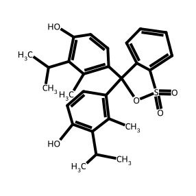 Cc1c(C2(c3ccc(O)c(C(C)C)c3C)OS(=O)(=O)c3ccccc32)ccc(O)c1C(C)C